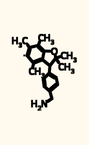 Cc1[c]c(C)c2c(c1C)OC(C)(C)C2c1ccc(CN)cc1